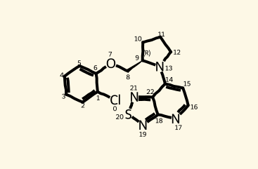 Clc1ccccc1OC[C@H]1CCCN1c1ccnc2nsnc12